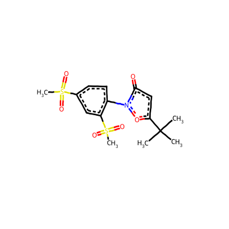 CC(C)(C)c1cc(=O)n(-c2ccc(S(C)(=O)=O)cc2S(C)(=O)=O)o1